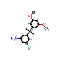 CCOc1cc(OC(F)(F)F)cc(C(C)(C)c2cc(N)cc(Cl)c2)c1